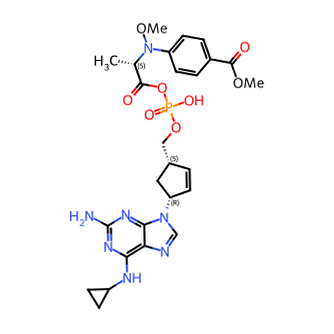 COC(=O)c1ccc(N(OC)[C@@H](C)C(=O)OP(=O)(O)OC[C@@H]2C=C[C@H](n3cnc4c(NC5CC5)nc(N)nc43)C2)cc1